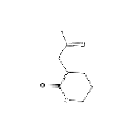 CC(=O)CC1CCCOC1=O